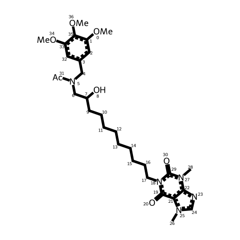 COc1cc(CN(CC(O)CCCCCCCCCn2c(=O)c3c(ncn3C)n(C)c2=O)C(C)=O)cc(OC)c1OC